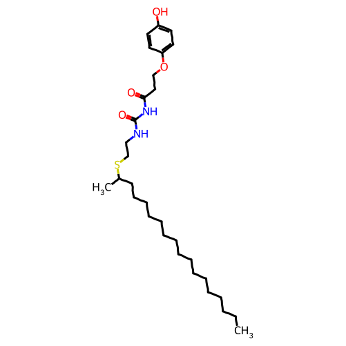 CCCCCCCCCCCCCCCCC(C)SCCNC(=O)NC(=O)CCOc1ccc(O)cc1